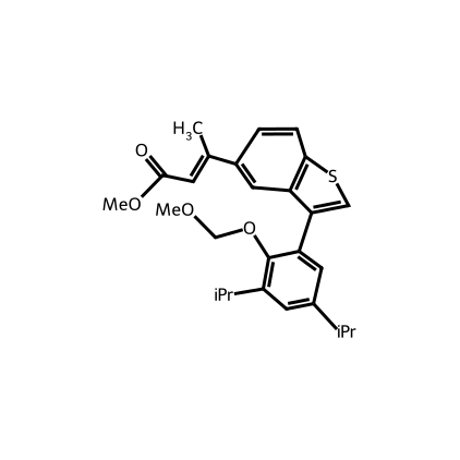 COCOc1c(-c2csc3ccc(C(C)=CC(=O)OC)cc23)cc(C(C)C)cc1C(C)C